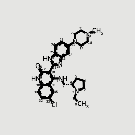 CCN1CCC[C@H]1CNc1c(-c2nc3cc(N4CCN(C)CC4)ccc3[nH]2)c(=O)[nH]c2ccc(Cl)cc12